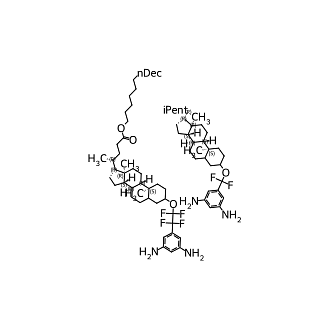 CCCCCCCCCCCCCCCCOC(=O)CC[C@@H](C)[C@H]1CC[C@H]2[C@@H]3CCC4CC(OC(F)(F)C(F)(F)c5cc(N)cc(N)c5)CC[C@]4(C)[C@H]3CC[C@]12C.CCC[C@@H](C)[C@H]1CC[C@H]2[C@@H]3CCC4CC(OC(F)(F)c5cc(N)cc(N)c5)CC[C@]4(C)[C@H]3CC[C@]12C